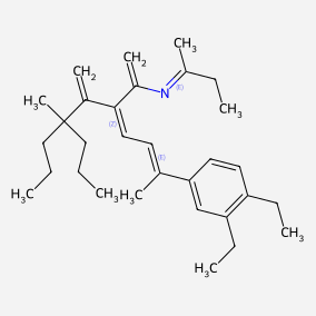 C=C(/N=C(\C)CC)/C(=C\C=C(/C)c1ccc(CC)c(CC)c1)C(=C)C(C)(CCC)CCC